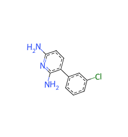 Nc1ccc(-c2cccc(Cl)c2)c(N)n1